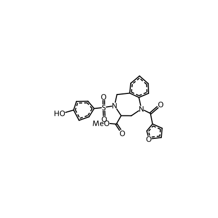 COC(=O)C1CN(C(=O)c2ccoc2)c2ccccc2CN1S(=O)(=O)c1ccc(O)cc1